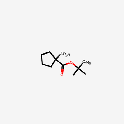 COC(C)(C)OC(=O)C1(C(=O)O)CCCC1